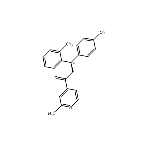 Cc1cc(C(=O)C[C@H](c2ccc(O)cc2)c2ccccc2C)ccn1